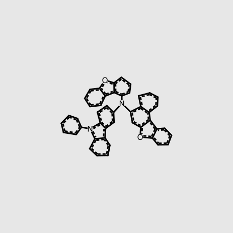 c1ccc(-n2c3ccccc3c3cc(N(c4cc5oc6ccccc6c5c5ccccc45)c4cccc5oc6ccccc6c45)ccc32)cc1